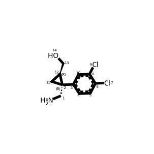 NC[C@]1(c2ccc(Cl)c(Cl)c2)C[C@H]1CO